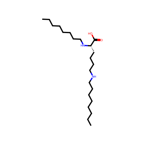 CCCCCCCCNCCCC[C@H](NCCCCCCCC)C(=O)O